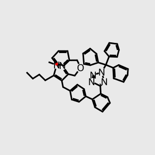 CCCCc1c(Cc2ccc(-c3ccccc3-c3nnn(C(c4ccccc4)(c4ccccc4)c4ccccc4)n3)cc2)c(COCc2ccccc2)nn1C